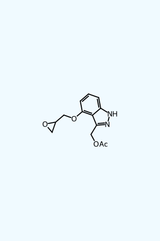 CC(=O)OCc1n[nH]c2cccc(OCC3CO3)c12